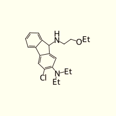 CCOCCNC1c2ccccc2-c2cc(Cl)c(N(CC)CC)cc21